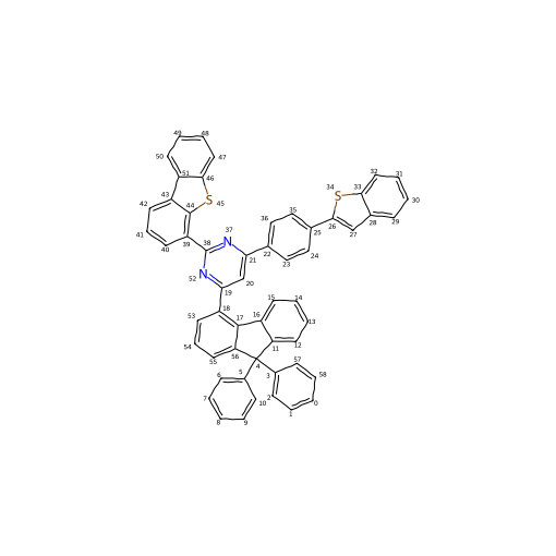 c1ccc(C2(c3ccccc3)c3ccccc3-c3c(-c4cc(-c5ccc(-c6cc7ccccc7s6)cc5)nc(-c5cccc6c5sc5ccccc56)n4)cccc32)cc1